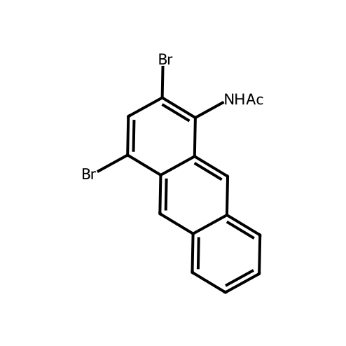 CC(=O)Nc1c(Br)cc(Br)c2cc3ccccc3cc12